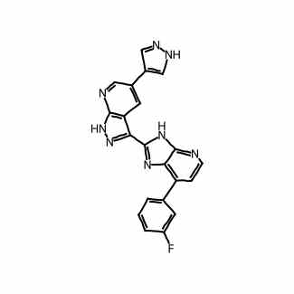 Fc1cccc(-c2ccnc3[nH]c(-c4n[nH]c5ncc(-c6cn[nH]c6)cc45)nc23)c1